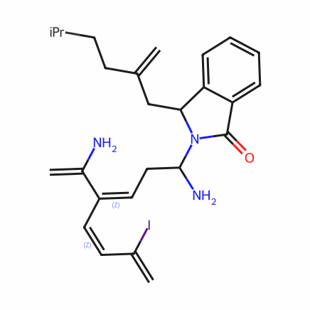 C=C(I)/C=C\C(=C\CC(N)N1C(=O)c2ccccc2C1CC(=C)CCC(C)C)C(=C)N